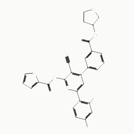 Cl.N#Cc1c(-c2cccc(C(=O)NC3CCNC3)c2)cc(-c2ccc(F)cc2O)nc1NC(=O)c1cccs1